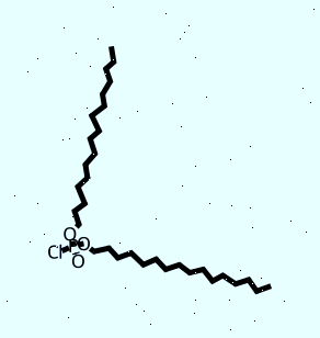 CCCCCCCCCCCCCCCCOP(=O)(Cl)OCCCCCCCCCCCCCCCC